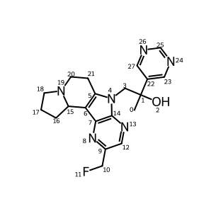 CC(O)(Cn1c2c(c3nc(CF)cnc31)C1CCCN1CC2)c1cncnc1